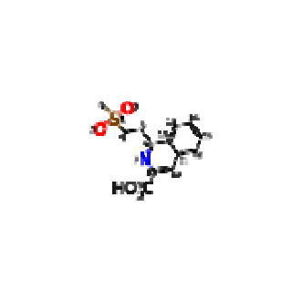 CS(=O)(=O)CCc1nc(C(=O)O)cc2ccccc12